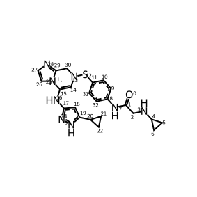 O=C(CNC1CC1)Nc1ccc(SN2C=C(Nc3cc(C4CC4)[nH]n3)[N+]3C=CN=C3C2)cc1